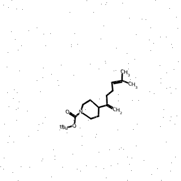 C=C(CCC=C(C)C)C1CCN(C(=O)OC(C)(C)C)CC1